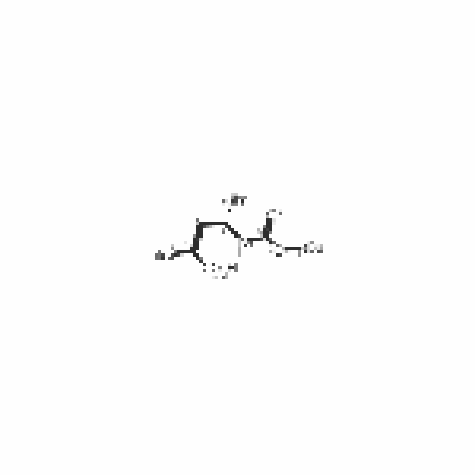 CCCCC(=C[C@@H](NC(=O)OC(C)(C)C)C(C)C)C(=O)O